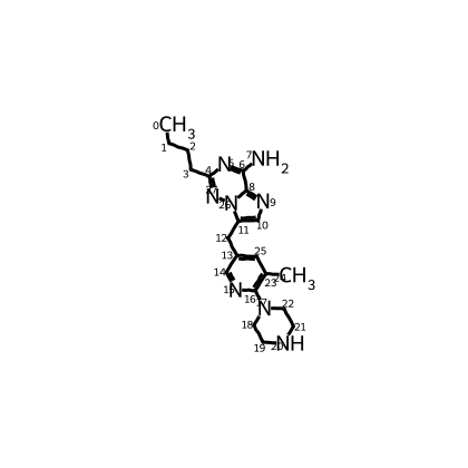 CCCCc1nc(N)c2ncc(Cc3cnc(N4CCNCC4)c(C)c3)n2n1